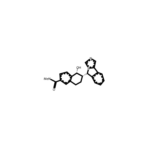 CNC(=O)c1ccc2c(c1)CC[C@@H](C1c3ccccc3-c3cncn31)[C@H]2O